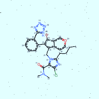 CCCCc1nc(Cl)c(C(=O)N(C)C)n1Cc1c2ccocc-2c(Br)c1-c1ccccc1-c1nnn[nH]1